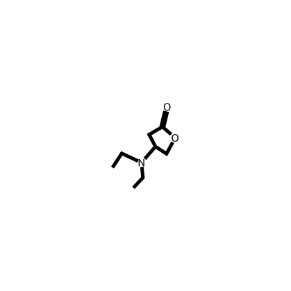 CCN(CC)C1COC(=O)C1